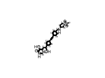 CS(=O)(=O)N1CCC(NCc2ccc(C#Cc3ccc(C(CO)Cc4nc[nH]c(=O)c4O)cc3)cc2)C1